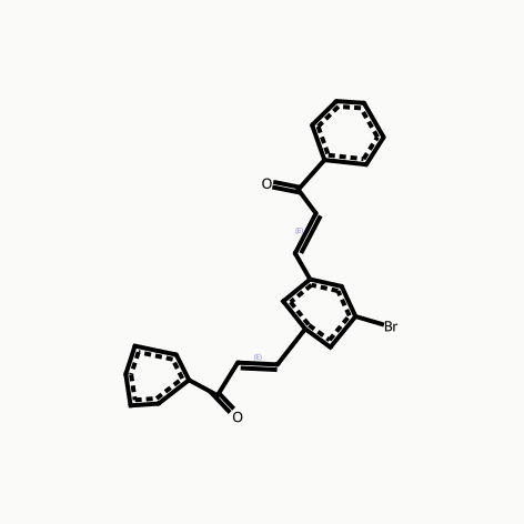 O=C(/C=C/c1cc(Br)cc(/C=C/C(=O)c2ccccc2)c1)c1ccccc1